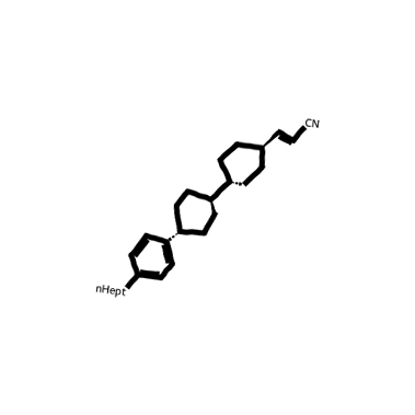 CCCCCCCc1ccc([C@H]2CC[C@H]([C@H]3CC[C@H](C=CC#N)CC3)CC2)cc1